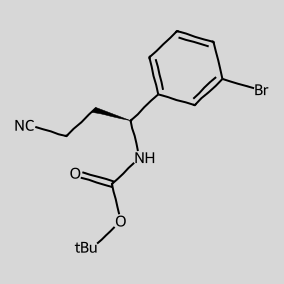 CC(C)(C)OC(=O)N[C@@H](CCC#N)c1cccc(Br)c1